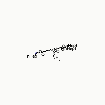 CCCCCC/C=C\COC(=O)CCCCCCCN(CCCC(=O)OC(CCCCCCC)CCCCCCC)C(=O)SCCN